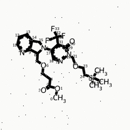 COC(=O)CCOCC1c2ncccc2CN1c1cnn(COCC[Si](C)(C)C)c(=O)c1C(F)(F)F